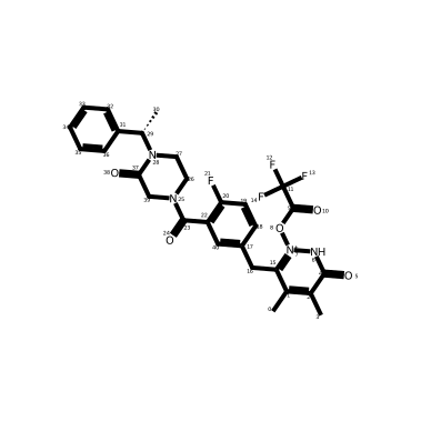 Cc1c(C)c(=O)[nH][n+](OC(=O)C(F)(F)F)c1Cc1ccc(F)c(C(=O)N2CCN([C@@H](C)c3ccccc3)C(=O)C2)c1